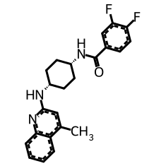 Cc1cc(N[C@H]2CC[C@@H](NC(=O)c3ccc(F)c(F)c3)CC2)nc2ccccc12